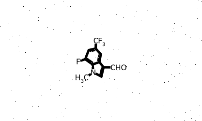 Cn1cc(C=O)c2cc(C(F)(F)F)cc(F)c21